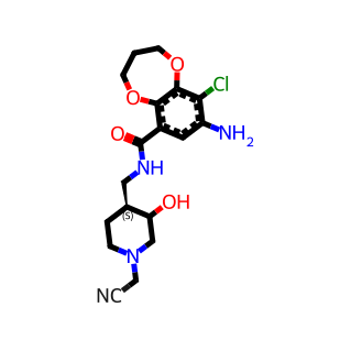 N#CCN1CC[C@@H](CNC(=O)c2cc(N)c(Cl)c3c2OCCCO3)C(O)C1